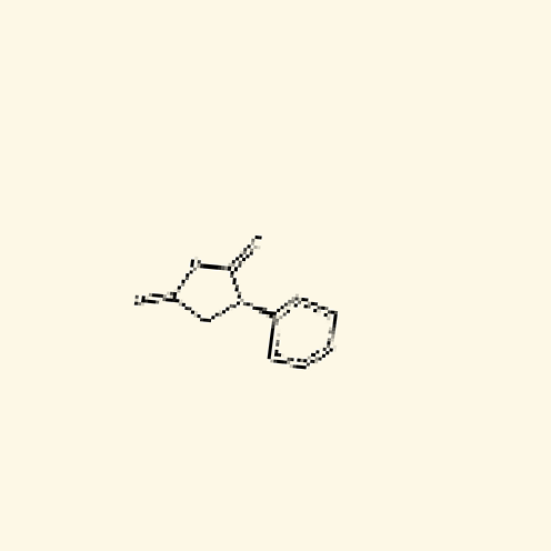 O=C1C[C@H](c2ccccc2)C(=O)O1